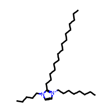 CCCCCCCCCCCCCCCCc1n(CCCCC)cc[n+]1CCCCCCCC